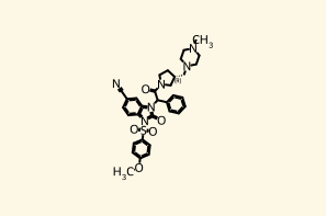 COc1ccc(S(=O)(=O)n2c(=O)n(C(C(=O)N3CC[C@H](CN4CCN(C)CC4)C3)c3ccccc3)c3cc(C#N)ccc32)cc1